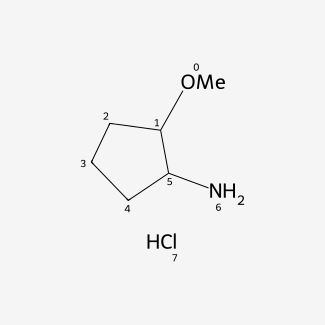 COC1CCCC1N.Cl